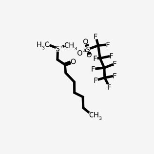 CCCCCCC(=O)C[S+](C)C.O=S(=O)([O-])C(F)(F)C(F)(F)C(F)(F)C(F)(F)F